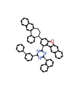 c1ccc(-c2cccc(-c3nc(-c4cccc5ccccc45)nc(-c4cc(C5CCc6cc7ccccc7cc6-c6ccccc65)cc5oc6cc7ccccc7cc6c45)n3)c2)cc1